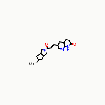 COC1CC2CN(C(=O)/C=C/c3cnc4c(c3)CCC(=O)N4)CC2C1